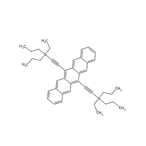 CCC[Si](C#Cc1c2cc3ccccc3cc2c(C#C[Si](CC)(CCC)CCC)c2cc3ccccc3cc12)(CC)CCC